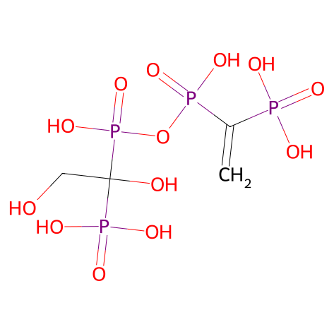 C=C(P(=O)(O)O)P(=O)(O)OP(=O)(O)C(O)(CO)P(=O)(O)O